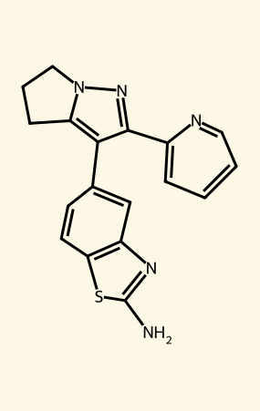 Nc1nc2cc(-c3c(-c4ccccn4)nn4c3CCC4)ccc2s1